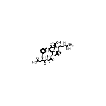 C[C@@H](NC(=O)[C@@H](N)CC(=O)O)C(=O)N[C@@H](Cc1c[nH]cn1)C(=O)N[C@H](Cc1ccccc1)C(=O)N[C@@H](CCCNC(=N)N)C(=O)O